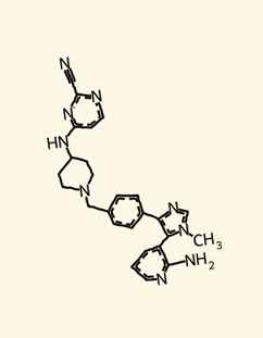 Cn1cnc(-c2ccc(CN3CCC(Nc4ccnc(C#N)n4)CC3)cc2)c1-c1cccnc1N